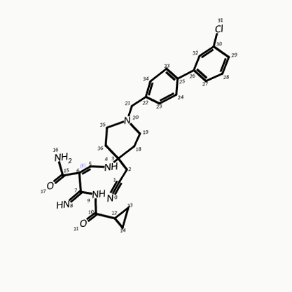 N#CCC1(N/C=C(\C(=N)NC(=O)C2CC2)C(N)=O)CCN(Cc2ccc(-c3cccc(Cl)c3)cc2)CC1